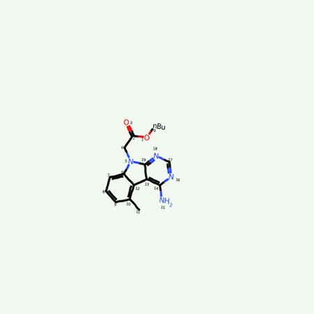 CCCCOC(=O)Cn1c2cccc(C)c2c2c(N)ncnc21